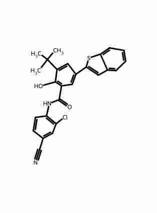 CC(C)(C)c1cc(-c2cc3ccccc3s2)cc(C(=O)Nc2ccc(C#N)cc2Cl)c1O